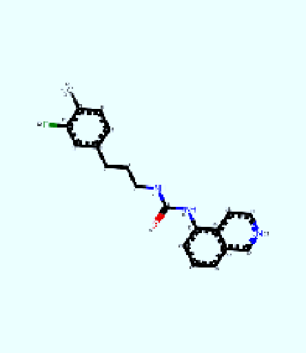 O=C(NCCCc1ccc(C(F)(F)F)c(F)c1)Nc1cccc2cnccc12